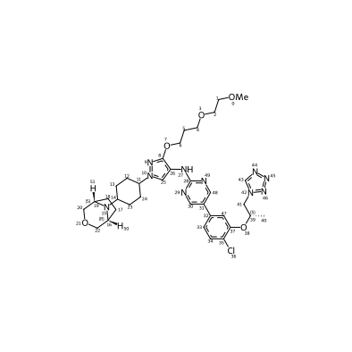 COCCOCCCOc1nn(C2CCC(N3[C@@H]4CC[C@H]3COC4)CC2)cc1Nc1ncc(-c2ccc(Cl)c(O[C@@H](C)Cn3cnnn3)c2)cn1